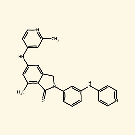 Cc1cc(Nc2cc(C)c3c(c2)CN(c2cccc(Nc4ccncc4)c2)C3=O)ccn1